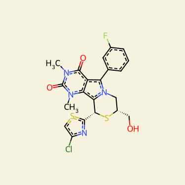 Cn1c(=O)c2c(-c3cccc(F)c3)n3c(c2n(C)c1=O)[C@@H](c1nc(Cl)cs1)S[C@@H](CO)C3